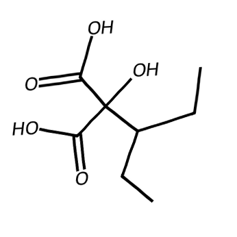 CCC(CC)C(O)(C(=O)O)C(=O)O